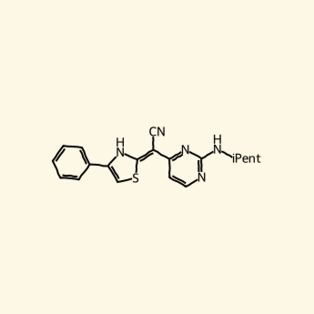 CCCC(C)Nc1nccc(/C(C#N)=C2/NC(c3ccccc3)=CS2)n1